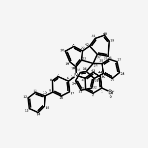 Brc1ccc(N(c2ccc(-c3ccccc3)cc2)c2cccc3c2C2(c4ccccc4-c4ccccc42)c2ccccc2-3)cc1